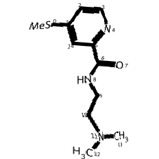 CSc1ccnc(C(=O)NCCN(C)C)c1